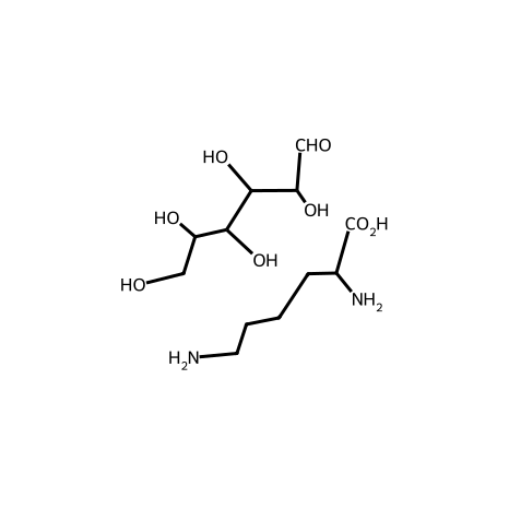 NCCCCC(N)C(=O)O.O=CC(O)C(O)C(O)C(O)CO